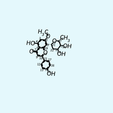 COc1cc(O)c2c(=O)cc(-c3ccc(O)cc3)oc2c1[C@H]1C[C@H](O)[C@H](O)[C@@H](C)O1